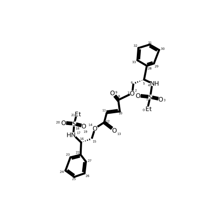 CCS(=O)(=O)N[C@H](COC(=O)/C=C/C(=O)OC[C@@H](NS(=O)(=O)CC)c1ccccc1)c1ccccc1